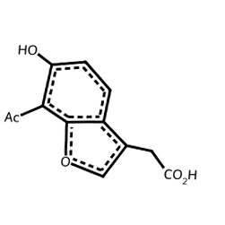 CC(=O)c1c(O)ccc2c(CC(=O)O)coc12